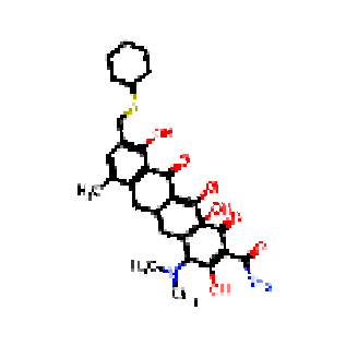 Cc1cc(CSC2CCCCC2)c(O)c2c1CC1CC3C(N(C)C)C(O)=C(C(N)=O)C(=O)C3(O)C(O)=C1C2=O